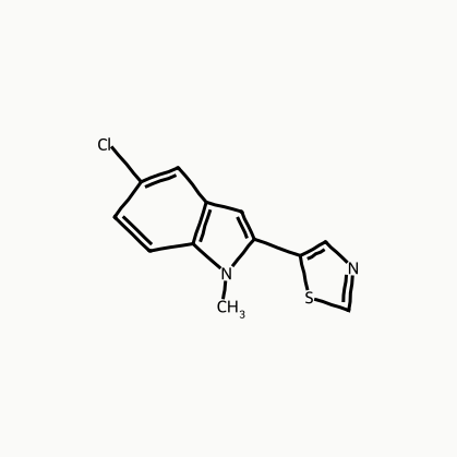 Cn1c(-c2cncs2)cc2cc(Cl)ccc21